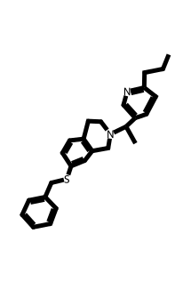 CCCc1ccc(C(C)N2CCc3ccc(SCc4ccccc4)cc3C2)cn1